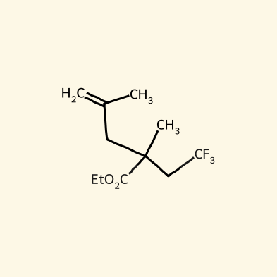 C=C(C)CC(C)(CC(F)(F)F)C(=O)OCC